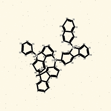 CC1(C)c2ccccc2-c2ccc(N(c3ccc4c5ccccc5n(-c5ccc6ccccc6c5)c4c3)c3cccc4c3c3ccccc3n4-c3ccccc3)cc21